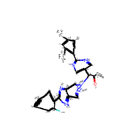 COC(=O)C(c1cnc(-c2ccc(C(F)(F)F)cc2C(F)(F)F)nc1)n1cc2nc(-c3ccccc3F)nc-2cn1